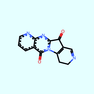 O=C1C2=C(CCN=C2)n2c1nc1ncccc1c2=O